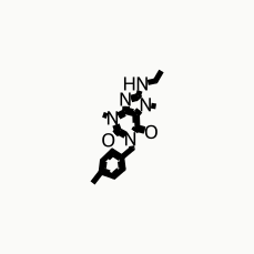 CCNc1nc2c(c(=O)n(Cc3ccc(C)cc3)c(=O)n2C)n1C